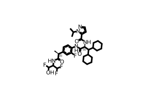 CC(C)n1nccc1C(=O)N[C@H](C(=O)Nc1ccc([C@H](C)C(=O)NC(C(O)F)C(F)F)cc1F)C(C1CCCCC1)C1CCCCC1